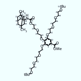 COC(=O)c1cc(OCCOCCOCCOC(C)(C)C)c(OCCOCCOC(=O)NC23CC4CC(C)(CC(C)(C4)C2)C3)c(OCCOCCOCCOC(C)(C)C)c1